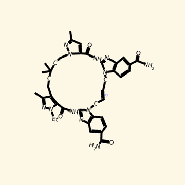 CCn1nc(C)c2c1C(=O)Nc1nc3cc(C(N)=O)ccc3n1C/C=C/Cn1c(nc3cc(C(N)=O)ccc31)NC(=O)c1cc(C)nn1CCC(C)(C)CC2